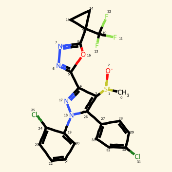 C[S+]([O-])c1c(-c2nnc(C3(C(F)(F)F)CC3)o2)nn(-c2ccccc2Cl)c1-c1ccc(Cl)cc1